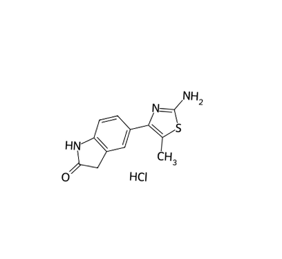 Cc1sc(N)nc1-c1ccc2c(c1)CC(=O)N2.Cl